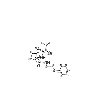 CC(C)[C@@H](Br)C(=O)NC1(C(=O)NCCCc2ccccc2)CCCC1